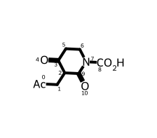 CC(=O)CC1C(=O)CCN(C(=O)O)C1=O